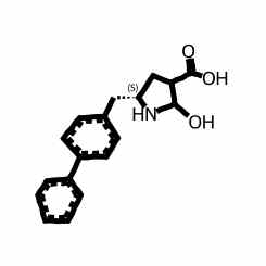 O=C(O)C1C[C@@H](Cc2ccc(-c3ccccc3)cc2)NC1O